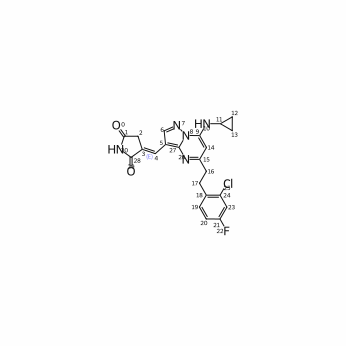 O=C1C/C(=C\c2cnn3c(NC4CC4)cc(CCc4ccc(F)cc4Cl)nc23)C(=O)N1